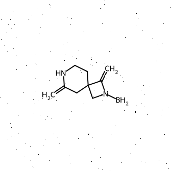 BN1CC2(CCNC(=C)C2)C1=C